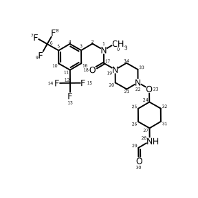 CN(Cc1cc(C(F)(F)F)cc(C(F)(F)F)c1)C(=O)N1CCN(OC2CCC(NC=O)CC2)CC1